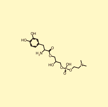 CN(C)CCOP(=O)(O)OCC(O)COC(=O)C(N)Cc1ccc(O)c(O)c1